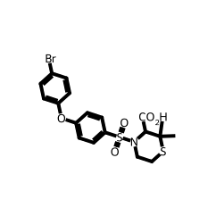 CC1(C)SCCN(S(=O)(=O)c2ccc(Oc3ccc(Br)cc3)cc2)C1C(=O)O